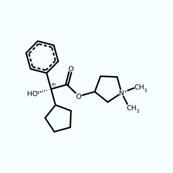 C[N+]1(C)CCC(OC(=O)[C@](O)(c2ccccc2)C2CCCC2)C1